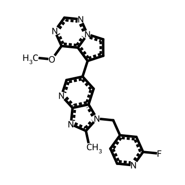 COc1ncnn2ccc(-c3cnc4nc(C)n(Cc5ccnc(F)c5)c4c3)c12